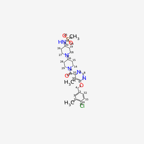 Cc1cc(COc2ncnc(C(=O)N3CCC(N4CCC(NS(C)(=O)=O)CC4)CC3)c2C)ccc1Cl